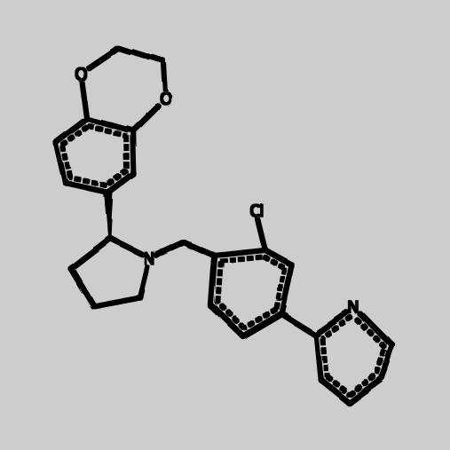 Clc1cc(-c2ccccn2)ccc1CN1CCC[C@H]1c1ccc2c(c1)OCCO2